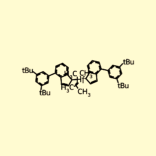 C[C](C)=[Hf]([CH3])([CH3])([CH]1C=Cc2c(-c3cc(C(C)(C)C)cc(C(C)(C)C)c3)cccc21)[CH]1C=Cc2c(-c3cc(C(C)(C)C)cc(C(C)(C)C)c3)cccc21